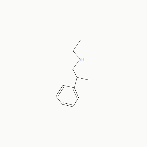 [CH2]C(CNCC)c1ccccc1